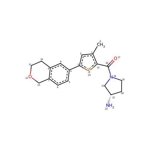 Cc1cc(-c2ccc3c(c2)CCOC3)sc1C(=O)N1CC[C@H](N)C1